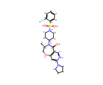 C[C@@H]1COc2cc(N3CCCC3)ncc2C(=O)N1C1CCN(S(=O)(=O)c2ccccc2F)CC1